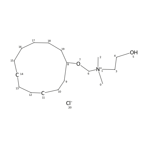 C[N+](C)(CCO)COC1CCCCCCCCCCC1.[Cl-]